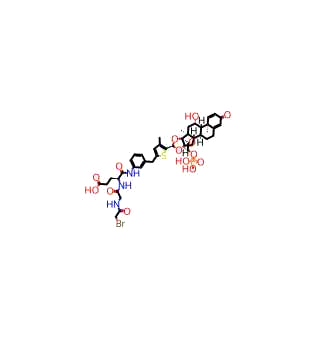 Cc1cc(Cc2cccc(NC(=O)[C@H](CCC(=O)O)NC(=O)CNC(=O)CBr)c2)sc1[C@@H]1O[C@@H]2C[C@H]3[C@@H]4CCC5=CC(=O)C=C[C@]5(C)[C@H]4[C@@H](O)C[C@]3(C)[C@]2(C(=O)COP(=O)(O)O)O1